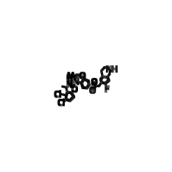 COc1cc(S(=O)(=O)Cc2cc3c(cc2F)CNCC3)ccc1NC(=O)NC(C)c1cccc(Cl)c1Cl